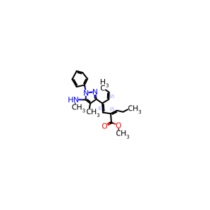 C\C=C/C(=C\C(=C\CC)C(=O)OC)c1nn(-c2ccccc2)c(NC)c1C